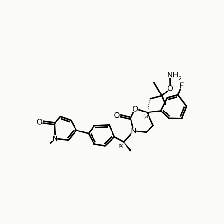 C[C@@H](c1ccc(-c2ccc(=O)n(C)c2)cc1)N1CC[C@](CC(C)(C)ON)(c2cccc(F)c2)OC1=O